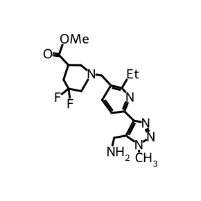 CCc1nc(-c2nnn(C)c2CN)ccc1CN1CC(C(=O)OC)CC(F)(F)C1